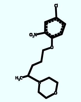 CC(CCCOc1ccc(Cl)cc1[N+](=O)[O-])N1CCOCC1